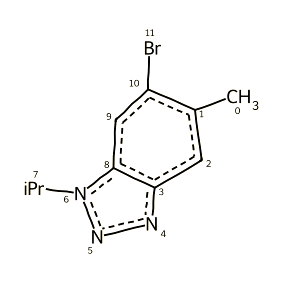 Cc1cc2nnn(C(C)C)c2cc1Br